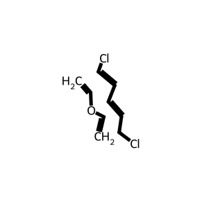 C=COC=C.ClC=CC=CCCl